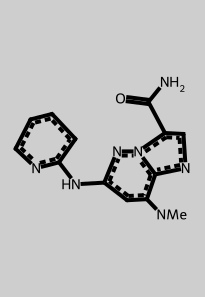 CNc1cc(Nc2ccccn2)nn2c(C(N)=O)cnc12